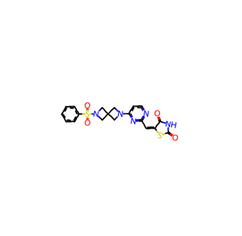 O=C1NC(=O)/C(=C\c2nccc(N3CC4(C3)CN(S(=O)(=O)c3ccccc3)C4)n2)S1